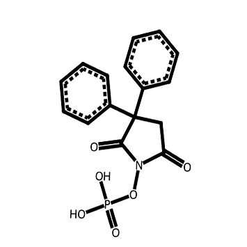 O=C1CC(c2ccccc2)(c2ccccc2)C(=O)N1OP(=O)(O)O